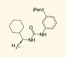 CCCC(C)c1cccc(NC(=O)N[C@@H](C)C2CCCCC2)c1